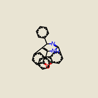 c1ccc(C2=C3c4ccc5oc6ccc(cc6c5c4)C(=NC3c3ccccc3)N2)cc1